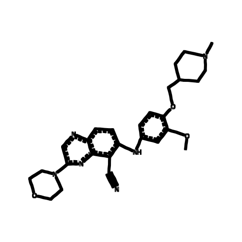 COc1cc(Nc2ccc3ncc(N4CCOCC4)nc3c2C#N)ccc1OCC1CCN(C)CC1